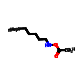 CCCCCCCCCCCCNOC(=O)C(=O)O